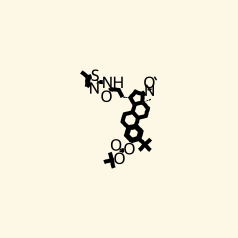 CON=C1C[C@@H](CCC(=O)Nc2ncc(C)s2)C2C3CCc4cc(OC(=O)OC(C)(C)C)c(C(C)(C)C)cc4C3CC[C@]12C